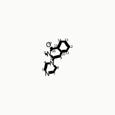 Cn1c(N2C=CN=CC2)cc2ccccc2c1=O